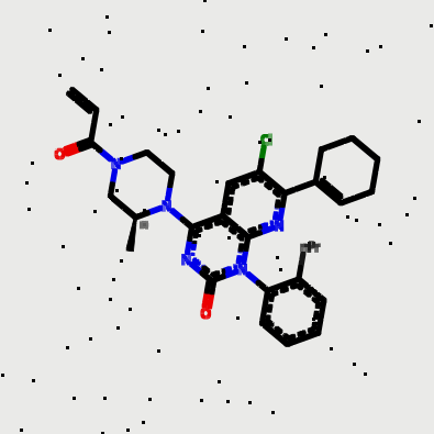 C=CC(=O)N1CCN(c2nc(=O)n(-c3ccccc3CCC)c3nc(C4=CCCCC4)c(Cl)cc23)[C@@H](C)C1